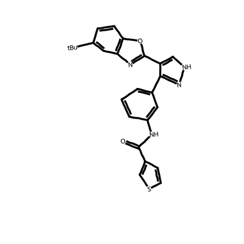 CC(C)(C)c1ccc2oc(-c3c[nH]nc3-c3cccc(NC(=O)c4ccsc4)c3)nc2c1